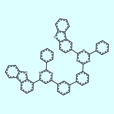 c1ccc(-c2nc(-c3cccc(-c4cccc(-c5nc(-c6ccccc6)nc(-c6ccc7oc8ccccc8c7c6)n5)c4)c3)cc(-c3cccc4c3oc3ccccc34)n2)cc1